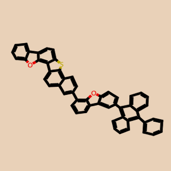 c1ccc(-c2c3ccccc3c(-c3ccc4oc5c(-c6ccc7c(ccc8c7sc7ccc9c%10ccccc%10oc9c78)c6)cccc5c4c3)c3ccccc23)cc1